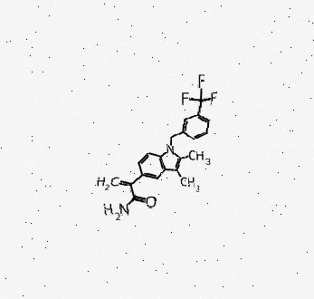 C=C(C(N)=O)c1ccc2c(c1)c(C)c(C)n2Cc1cccc(C(F)(F)F)c1